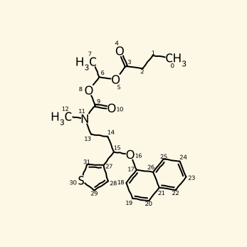 CCCC(=O)OC(C)OC(=O)N(C)CCC(Oc1cccc2ccccc12)c1ccsc1